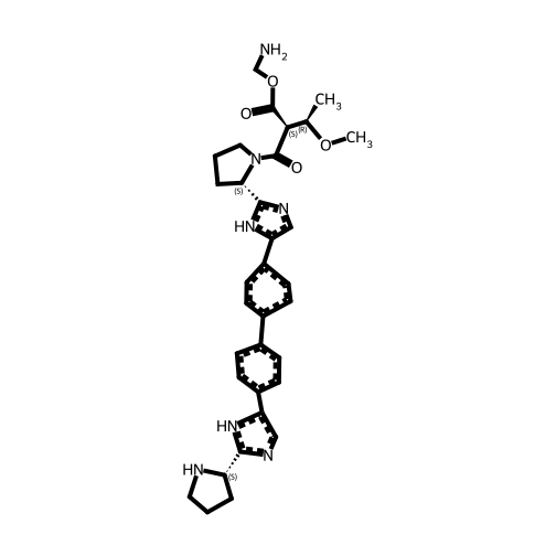 CO[C@H](C)[C@H](C(=O)OCN)C(=O)N1CCC[C@H]1c1ncc(-c2ccc(-c3ccc(-c4cnc([C@@H]5CCCN5)[nH]4)cc3)cc2)[nH]1